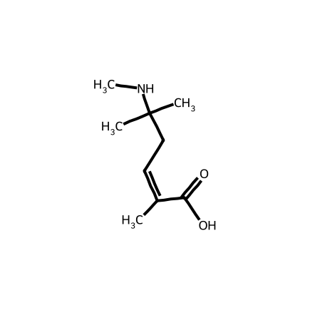 CNC(C)(C)CC=C(C)C(=O)O